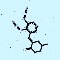 CC1CCC(=O)C(=Cc2cccc(N=[N+]=[N-])c2N=[N+]=[N-])C1